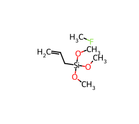 C=CC[Si](OC)(OC)OC.CF